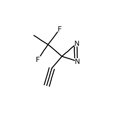 C#CC1(C(C)(F)F)N=N1